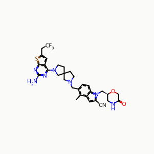 Cc1c(CN2CCC3(CCN(c4nc(N)nc5sc(CC(F)(F)F)cc45)C3)C2)ccc2c1cc(C#N)n2C[C@@H]1CNC(=O)CO1